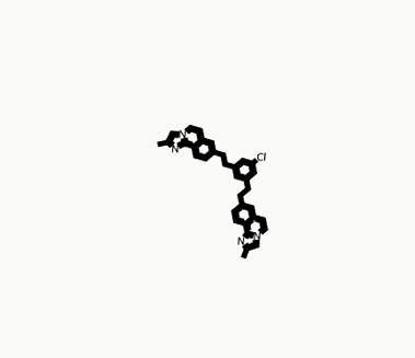 Cc1cn2ccc3cc(CCc4cc(Cl)cc(CCc5ccc6c(ccn7cc(C)nc67)c5)c4)ccc3c2n1